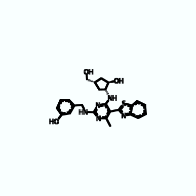 Cc1nc(NCc2cccc(O)c2)nc(N[C@@H]2C[C@H](CO)C[C@H]2O)c1-c1nc2ccccc2s1